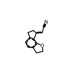 N#CC=C1CCc2ccc3c(c21)OCC3